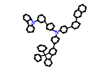 c1ccc(C2(c3ccccc3)c3ccccc3-c3ccc(-c4ccc(N(c5ccc(-c6cccc(-c7ccc8ccccc8c7)c6)cc5)c5ccc(-c6cccc(-n7c8ccccc8c8ccccc87)c6)cc5)cc4)cc32)cc1